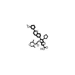 COc1cccc(-c2ccc3cc(-c4c(C5CCCC5)c5sc(C(=O)O)cc5n4CC(=O)N4C(C)COCC4C)ccc3n2)c1